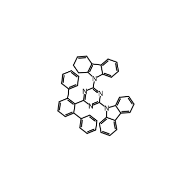 C1=Cc2c(n(-c3nc(-c4c(-c5ccccc5)cccc4-c4ccccc4)nc(-n4c5ccccc5c5ccccc54)n3)c3ccccc23)CC1